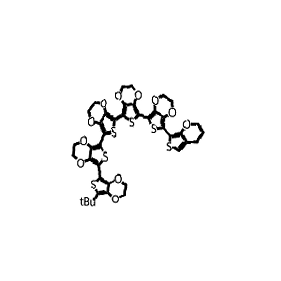 CC(C)(C)c1sc(-c2sc(-c3sc(-c4sc(-c5sc(-c6scc7c6OCCC7)c6c5OCCO6)c5c4OCCO5)c4c3OCCO4)c3c2OCCO3)c2c1OCCO2